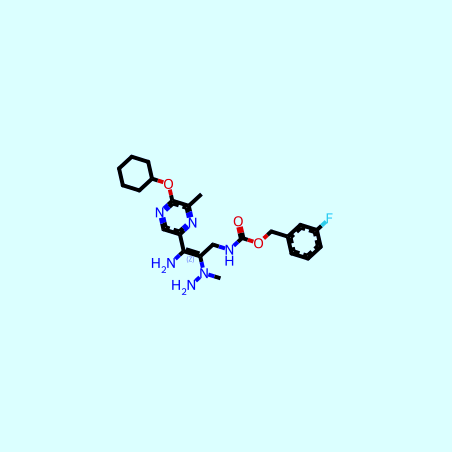 Cc1nc(/C(N)=C(\CNC(=O)OCc2cccc(F)c2)N(C)N)cnc1OC1CCCCC1